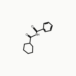 O=C(NC(=O)C1CCCCC1)c1ccccc1